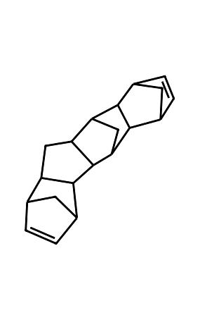 C1=CC2CC1C1CC3C4CC(C5C6C=CC(C6)C45)C3C21